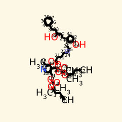 C#CCCC(C)(C)OC(=O)OCc1cnc(C)c(OC(=O)CCC/C=C\C[C@@H]2[C@@H](CC[C@@H](O)CCc3ccccc3)CC[C@@H]2O)c1COC(=O)OC(C)(C)CCC#C